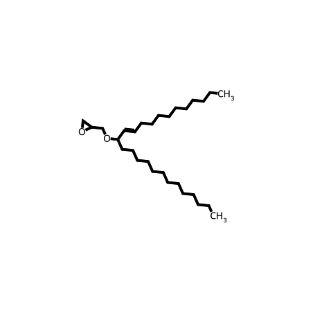 CCCCCCCCCCC=CC(CCCCCCCCCCCCC)OCC1CO1